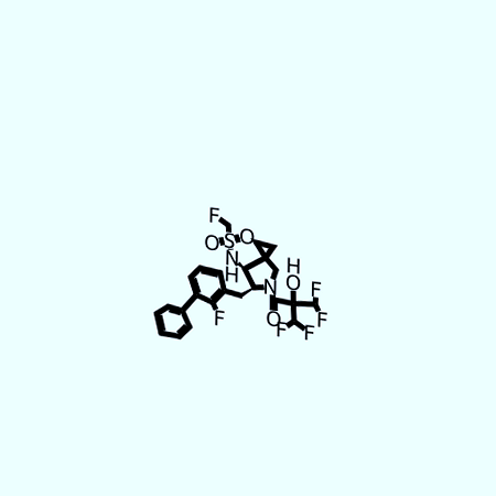 O=C(N1CC2(CC2)[C@H](NS(=O)(=O)CF)[C@@H]1Cc1cccc(-c2ccccc2)c1F)C(O)(C(F)F)C(F)F